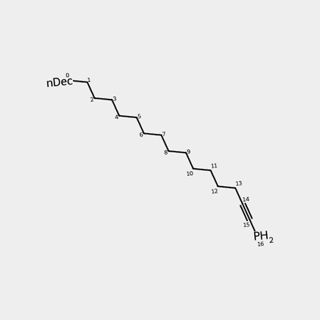 CCCCCCCCCCCCCCCCCCCCCCCC#CP